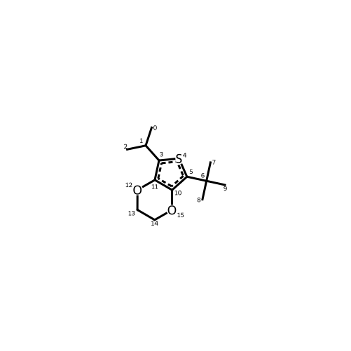 CC(C)c1sc(C(C)(C)C)c2c1OCCO2